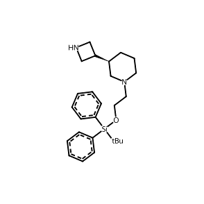 CC(C)(C)[Si](OCCN1CCC[C@H](C2CNC2)C1)(c1ccccc1)c1ccccc1